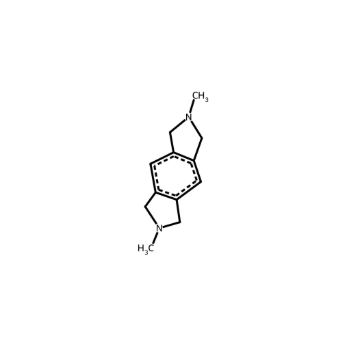 CN1Cc2cc3c(cc2C1)CN(C)C3